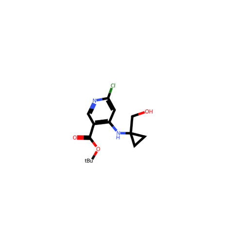 CC(C)(C)OC(=O)c1cnc(Cl)cc1NC1(CO)CC1